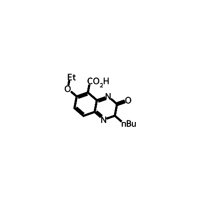 CCCCC1N=c2ccc(OCC)c(C(=O)O)c2=NC1=O